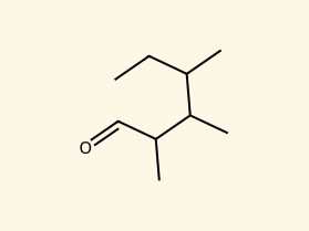 CCC(C)C(C)C(C)C=O